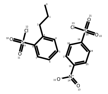 CCCc1ccccc1S(=O)(=O)Cl.O=[N+]([O-])c1ccc(S(=O)(=O)Cl)cc1